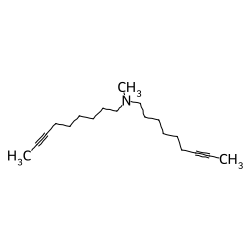 CC#CCCCCCCN(C)CCCCCCC#CC